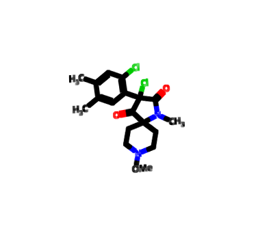 CON1CCC2(CC1)C(=O)C(Cl)(c1cc(C)c(C)cc1Cl)C(=O)N2C